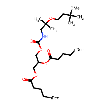 CCCCCCCCCCCCCC(=O)OCC(COC(=O)NCC(C)(C)OCCC(C)(C)OC)OC(=O)CCCCCCCCCCCCC